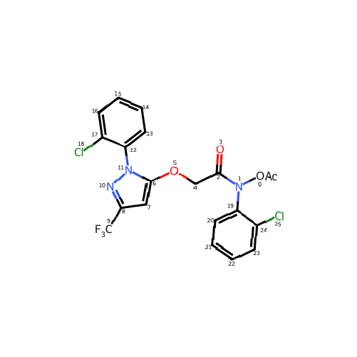 CC(=O)ON(C(=O)COc1cc(C(F)(F)F)nn1-c1ccccc1Cl)c1ccccc1Cl